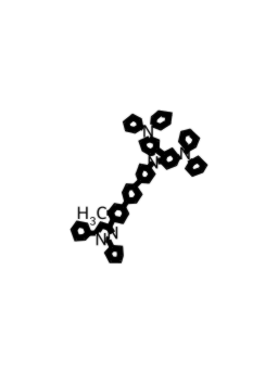 Cc1cc(-c2ccc(-c3ccc(-n4c5ccc(N(c6ccccc6)c6ccccc6)cc5c5cc(N(c6ccccc6)c6ccccc6)ccc54)cc3)cc2)ccc1-c1cc(-c2ccccc2)nc(-c2ccccc2)n1